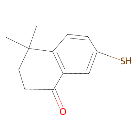 CC1(C)CCC(=O)c2cc(S)ccc21